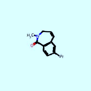 CC(C)c1ccc2c(c1)C=CCN(C)C2=O